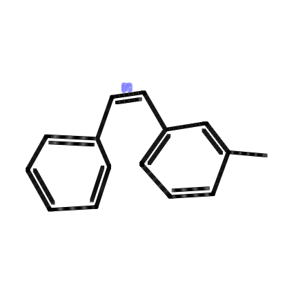 Cc1cccc(/C=C\c2ccccc2)c1